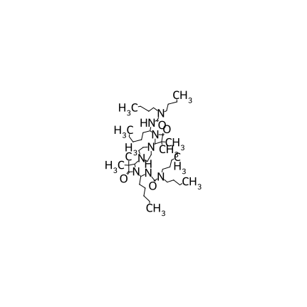 CCCCCC(NC(=O)N(CCCC)CCCC)N1C(=O)C(C)(C)C1N1CCN(C2N(C(CCCCC)NC(=O)N(CCCC)CCCC)C(=O)C2(C)C)CC1